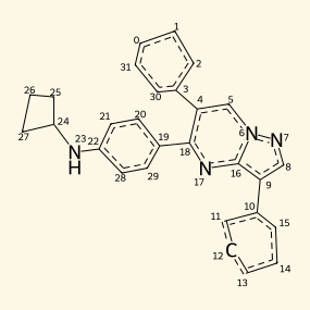 c1ccc(-c2cn3ncc(-c4ccccc4)c3nc2-c2ccc(NC3CCC3)cc2)cc1